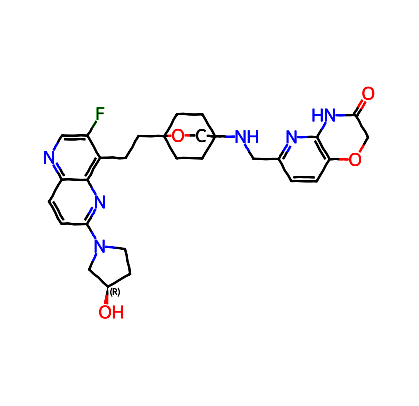 O=C1COc2ccc(CNC34CCC(CCc5c(F)cnc6ccc(N7CC[C@@H](O)C7)nc56)(CC3)OC4)nc2N1